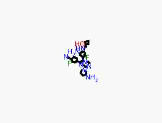 N#Cc1ccc(-c2nc3c(N4CCCC(N)C4)nccn3c2-c2cc(N)c(NCC3(O)CCC3)cc2F)cc1F